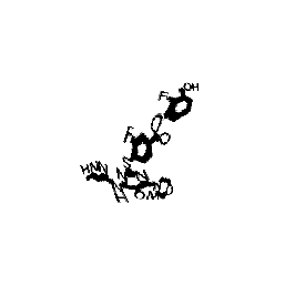 COc1c(Nc2cc(C)[nH]n2)nc(Sc2ccc(C(=O)Oc3cccc(CO)c3F)cc2F)nc1N1CCOCC1